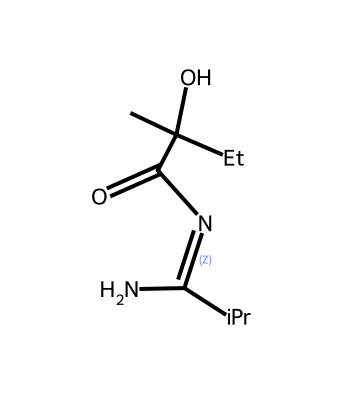 CCC(C)(O)C(=O)/N=C(\N)C(C)C